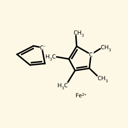 Cc1c(C)c(C)[c-](C)c1C.[Fe+2].c1cc[cH-]c1